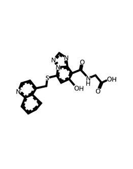 O=C(O)CNC(=O)c1c(O)cc(SCc2ccnc3ccccc23)n2ncnc12